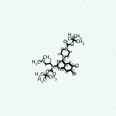 CN(C)CCN(C(=O)OC(C)(C)C)c1nc(N2CCN(C(=O)OC(C)(C)C)CC2)c2cc(Cl)c(Br)cc2n1